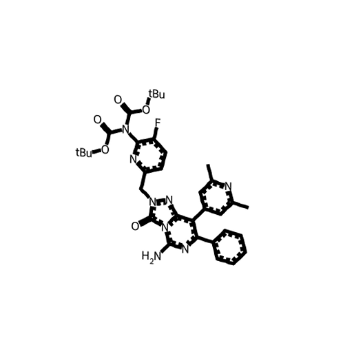 Cc1cc(-c2c(-c3ccccc3)nc(N)n3c(=O)n(Cc4ccc(F)c(N(C(=O)OC(C)(C)C)C(=O)OC(C)(C)C)n4)nc23)cc(C)n1